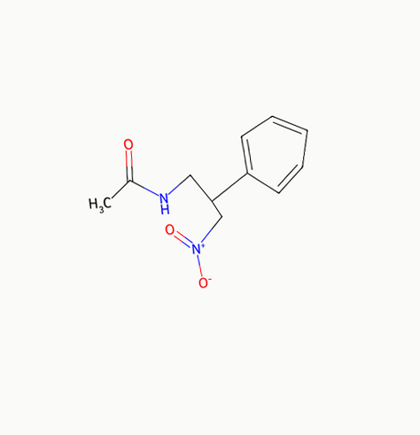 CC(=O)NCC(C[N+](=O)[O-])c1ccccc1